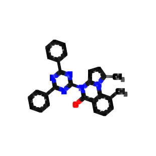 Cc1cccc2c(=O)n(-c3nc(-c4ccccc4)nc(-c4ccccc4)n3)c3ccc(C)n3c12